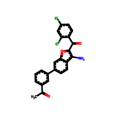 CC(=O)c1cccc(-c2ccc3c(N)c(C(=O)c4ccc(Cl)cc4Cl)oc3c2)c1